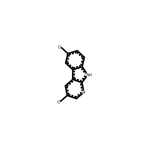 Clc1ccc2[nH]c3ncc(Cl)cc3c2c1